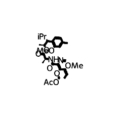 C=N/C(C(=O)N[C@@H](C)C(=O)O[C@@H](C)[C@H](c1ccc(C)cc1OC)C(C)C)=C(OCOC(C)=O)\C(=C/C)OC